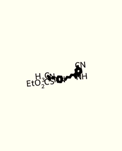 CCOC(=O)c1sc(N2CCN(CCCCc3c[nH]c4ccc(C#N)cc34)CC2)nc1C